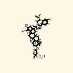 CC(C)C1=C2[C@H]3CC[C@@H]4[C@@]5(C)CC[C@H](OC(=O)CC(C)(C)C(=O)O)C(C)(C)[C@@H]5CC[C@@]4(C)[C@]3(C)CC[C@@]2(Cc2nnc(-c3ccc(F)cc3)n2CCN(C)C)CC1=O